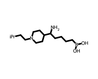 CC(C)CCN1CCC(C(N)CCCCB(O)O)CC1